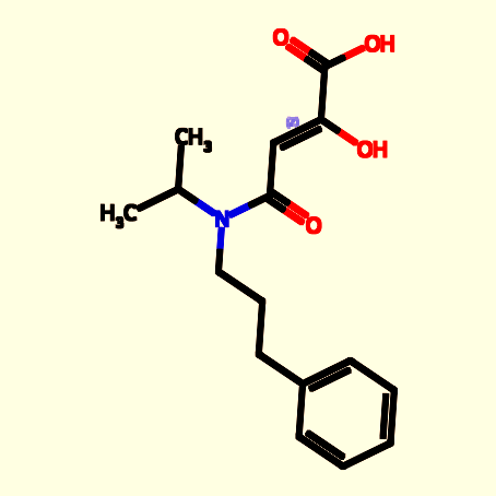 CC(C)N(CCCc1ccccc1)C(=O)/C=C(\O)C(=O)O